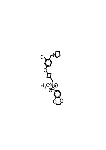 CN(CC1CC(Oc2ccc(CN3CCCC3)c(Cl)c2)C1)S(=O)(=O)c1ccc2c(c1)OCCO2